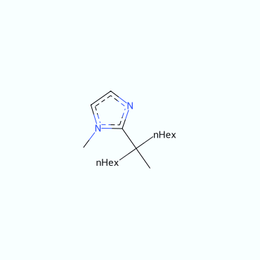 CCCCCCC(C)(CCCCCC)c1nccn1C